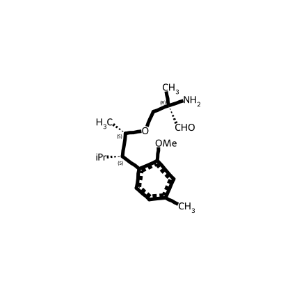 COc1cc(C)ccc1[C@H](C(C)C)[C@H](C)OC[C@@](C)(N)C=O